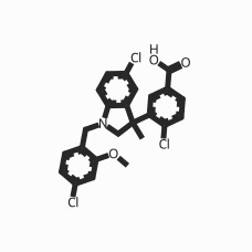 COc1cc(Cl)ccc1CN1CC(C)(c2cc(C(=O)O)ccc2Cl)c2cc(Cl)ccc21